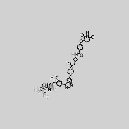 [2H]C1N=C(C(C)(C)C)ON1Cc1ccc(-c2ncnn3cc(N4CCN(C(=O)CC5CC(NC(=O)c6ccc(OC7CCC(=O)NC7=O)cc6)C5)CC4)cc23)cc1C